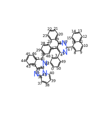 c1ccc(-c2nc(-c3cccc4ccccc34)nc(-c3ccccc3)c2-c2cccc(-c3nc4c(nc5ccccn54)c4ccccc34)c2)cc1